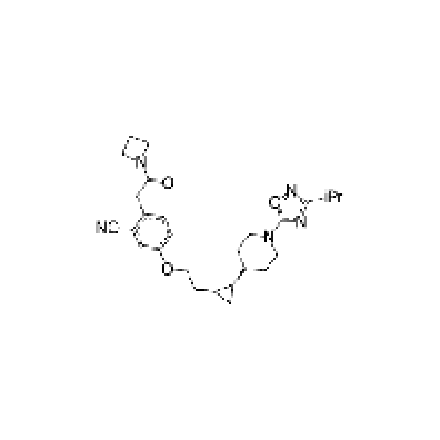 CC(C)c1noc(N2CCC([C@H]3C[C@H]3CCOc3ccc(CC(=O)N4CCC4)c(C#N)c3)CC2)n1